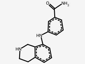 NC(=O)c1cccc(Nc2cccc3c2CNCC3)c1